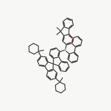 CC1(c2ccc3c(c2)C2(c4cc(C5(C)CCCCC5)ccc4-3)c3ccccc3-c3c(N(c4ccc5c(c4)C(C)(C)c4ccccc4-5)c4ccccc4-c4ccccc4)cccc32)CCCCC1